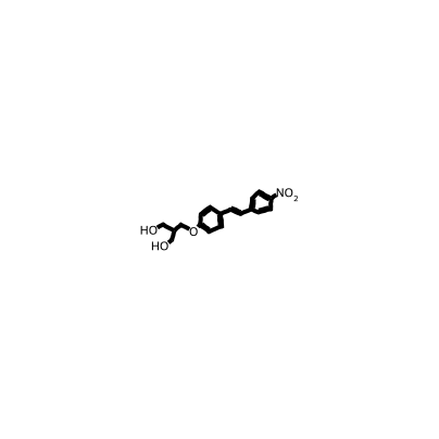 O=[N+]([O-])c1ccc(C=Cc2ccc(OCC(CO)CO)cc2)cc1